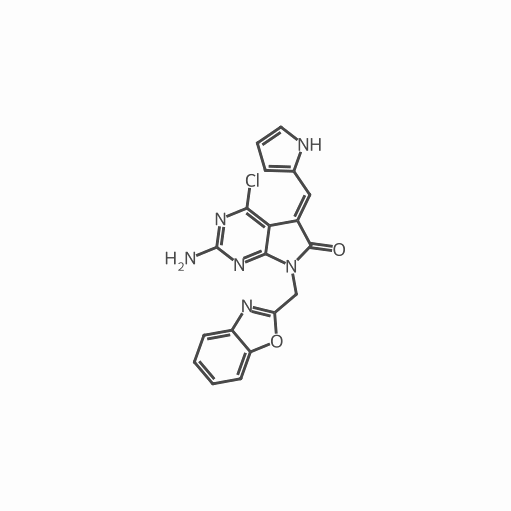 Nc1nc(Cl)c2c(n1)N(Cc1nc3ccccc3o1)C(=O)/C2=C/c1ccc[nH]1